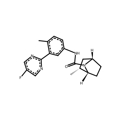 Cc1ccc(NC(=O)N2[C@H]3CC[C@@H]2[C@H](C)C3)cc1-c1ncc(F)cn1